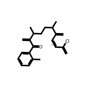 C=C(Cl)/C=C\C(=C)C(C)CCC(C)C(=C)C(=O)c1ccccc1C